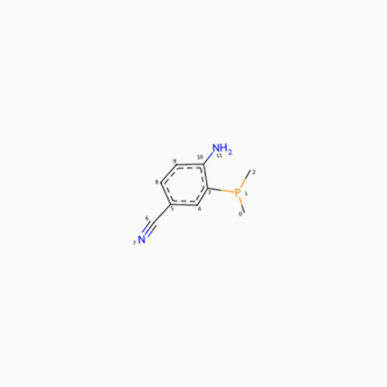 CP(C)c1cc(C#N)ccc1N